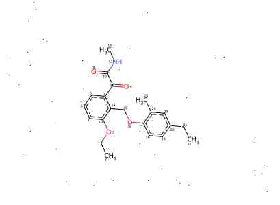 CCOc1cccc(C(=O)C(=O)NC)c1COc1ccc(CC)cc1C